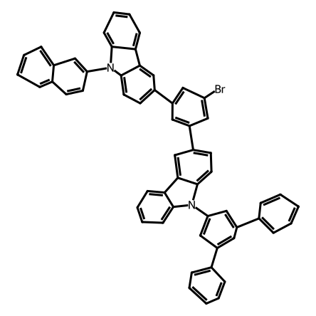 Brc1cc(-c2ccc3c(c2)c2ccccc2n3-c2cc(-c3ccccc3)cc(-c3ccccc3)c2)cc(-c2ccc3c(c2)c2ccccc2n3-c2ccc3ccccc3c2)c1